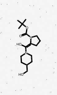 CC(C)(C)OC(=O)N1CCC/C1=C(/O)N1CCC(CO)CC1